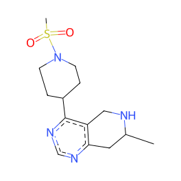 CC1Cc2ncnc(C3CCN(S(C)(=O)=O)CC3)c2CN1